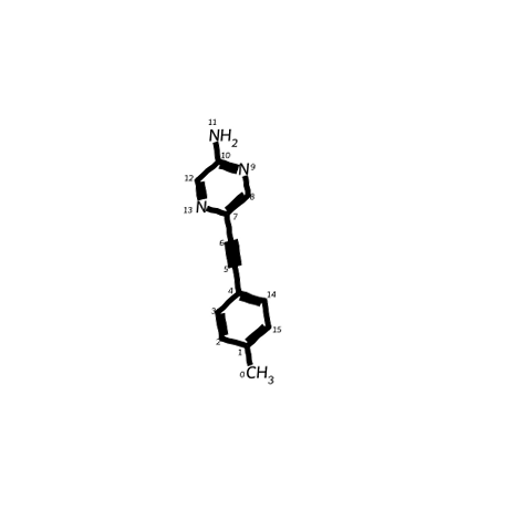 Cc1ccc(C#Cc2cnc(N)cn2)cc1